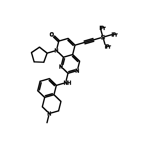 CC(C)[Si](C#Cc1cc(=O)n(C2CCCC2)c2nc(Nc3cccc4c3CCN(C)C4)ncc12)(C(C)C)C(C)C